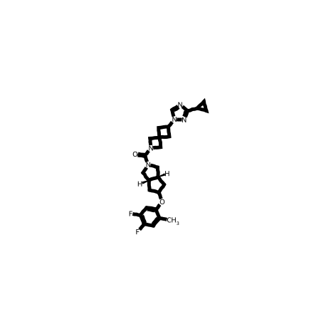 Cc1cc(F)c(F)cc1OC1C[C@@H]2CN(C(=O)N3CC4(CC(n5cnc(C6CC6)n5)C4)C3)C[C@@H]2C1